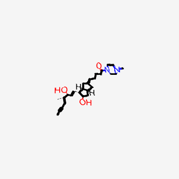 CC#CC[C@H](C)[C@H](O)/C=C/[C@@H]1[C@H]2C/C(=C/CCCC(=O)N3CCN(C)CC3)C[C@H]2C[C@H]1O